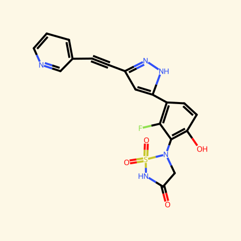 O=C1CN(c2c(O)ccc(-c3cc(C#Cc4cccnc4)n[nH]3)c2F)S(=O)(=O)N1